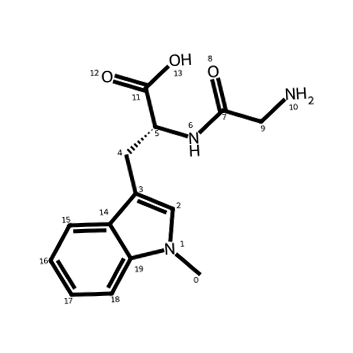 Cn1cc(C[C@@H](NC(=O)CN)C(=O)O)c2ccccc21